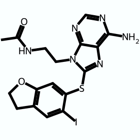 CC(=O)NCCn1c(Sc2cc3c(cc2I)CCO3)nc2c(N)ncnc21